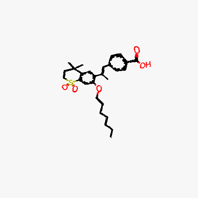 CCCCCCCOc1cc2c(cc1C(C)=Cc1ccc(C(=O)O)cc1)C(C)(C)CCS2(=O)=O